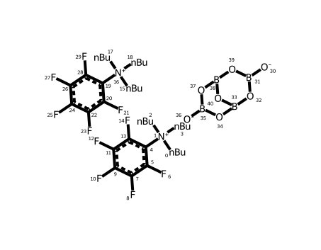 CCCC[N+](CCCC)(CCCC)c1c(F)c(F)c(F)c(F)c1F.CCCC[N+](CCCC)(CCCC)c1c(F)c(F)c(F)c(F)c1F.[O-]B1OB2OB([O-])OB(O1)O2